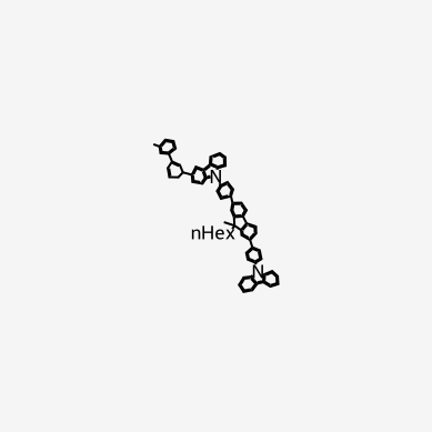 CCCCCCC1(C)c2cc(-c3ccc(-n4c5ccccc5c5ccccc54)cc3)ccc2-c2ccc(-c3ccc(-n4c5ccccc5c5cc(C6C=C(c7cccc(C)c7)C=CC6)ccc54)cc3)cc21